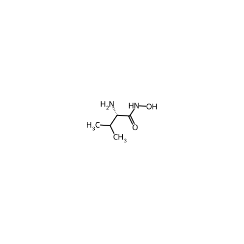 CC(C)[C@H](N)C(=O)NO